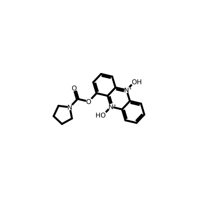 O=C(Oc1cccc2c1[n+](O)c1ccccc1[n+]2O)N1CCCC1